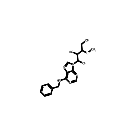 COC(CO)C(O)C(O)n1cnc2c(NCc3ccccc3)ncnc21